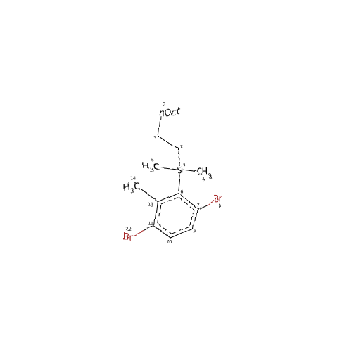 CCCCCCCCCC[Si](C)(C)c1c(Br)ccc(Br)c1C